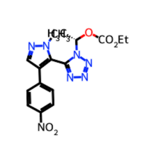 CCOC(=O)O[C@@H](C)n1nnnc1-c1c(-c2ccc([N+](=O)[O-])cc2)cnn1C